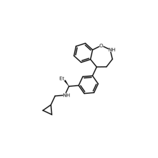 CC[C@H](NCC1CC1)c1cccc(C2CCNOc3ccccc32)c1